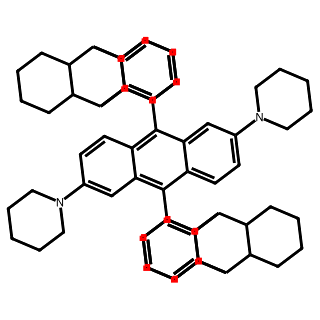 c1ccc2c(c1)C1c3cccc(-c4c5ccc(N6CCCCC6)cc5c(-c5cccc6c5C5c7ccccc7C6C6CCCCC56)c5ccc(N6CCCCC6)cc45)c3C2C2CCCCC12